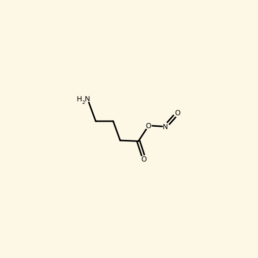 NCCCC(=O)ON=O